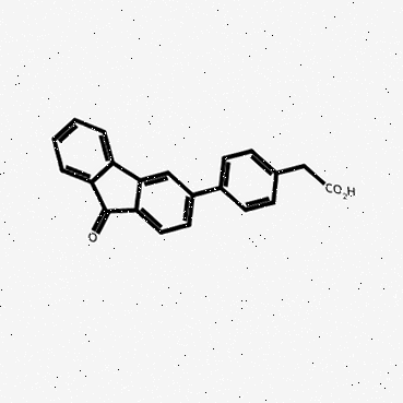 O=C(O)Cc1ccc(-c2ccc3c(c2)-c2ccccc2C3=O)cc1